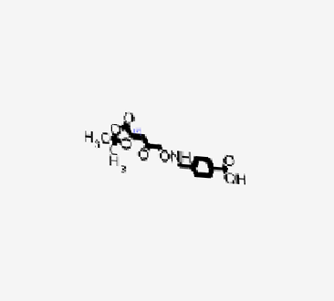 CC1(C)OC(=O)/C(=C/C(=O)CONCc2ccc(C(=O)O)cc2)O1